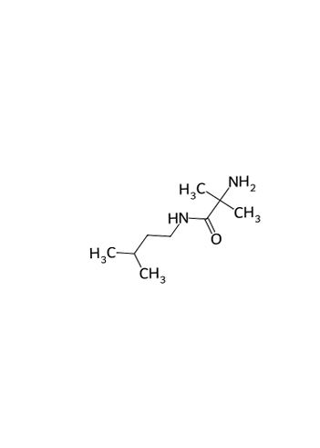 CC(C)CCNC(=O)C(C)(C)N